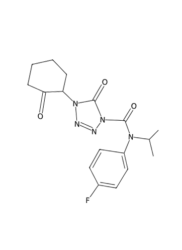 CC(C)N(C(=O)n1nnn(C2CCCCC2=O)c1=O)c1ccc(F)cc1